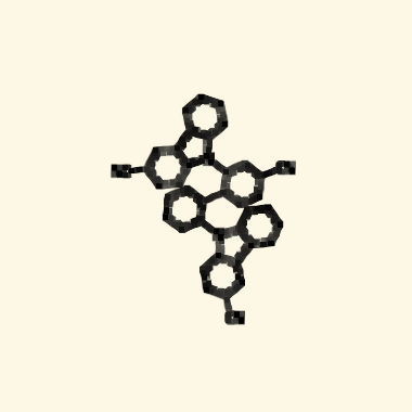 N#Cc1ccc(-c2ccccc2-n2c3ccccc3c3cc(C#N)ccc32)c(-n2c3ccccc3c3cc(C#N)ccc32)c1